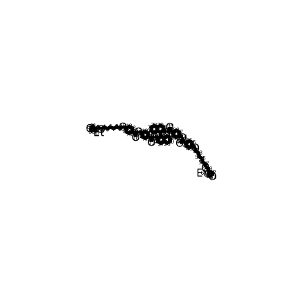 CCC1(COCCCCCCOc2ccc(C(=O)Oc3ccc(C(=O)Oc4ccc5ccccc5c4-c4c(OC(=O)c5ccc(OC(=O)c6ccc(OCCCCCCOCC7(CC)COC7)cc6)cc5)ccc5ccccc45)cc3)cc2)COC1